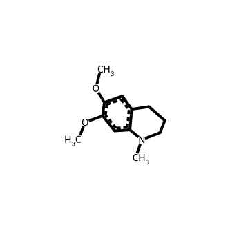 COc1cc2c(cc1OC)N(C)CCC2